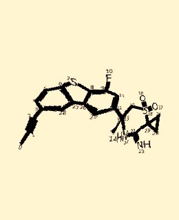 CC#Cc1ccc2sc3c(F)cc([C@]4(C)CS(=O)(=O)C5(CC5)C(=N)N4)cc3c2c1